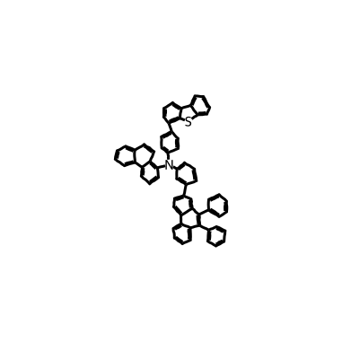 c1ccc(-c2c(-c3ccccc3)c3cc(-c4cccc(N(c5ccc(-c6cccc7c6sc6ccccc67)cc5)c5cccc6c5ccc5ccccc56)c4)ccc3c3ccccc23)cc1